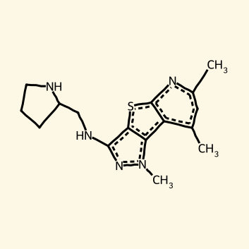 Cc1cc(C)c2c(n1)sc1c(NCC3CCCN3)nn(C)c12